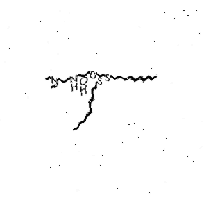 CCCCCCCCCCCSCC(COCC(O)CNCCCN(CC)CC)SCCCCCCCCCCC